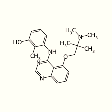 Cc1c(O)cccc1Nc1ncnc2cccc(OCC(C)(C)N(C)C)c12